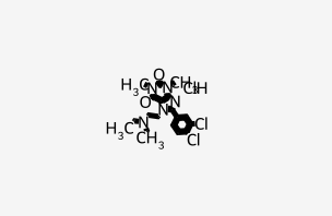 CCN(CC)CCn1c(-c2ccc(Cl)c(Cl)c2)nc2c1c(=O)n(C)c(=O)n2C.Cl